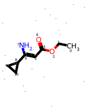 CCOC(=O)/C=C(\N)C1CC1